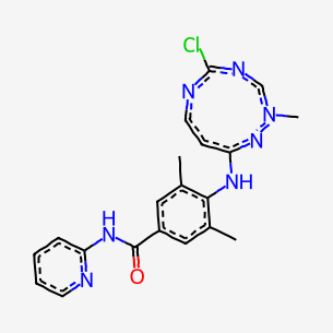 Cc1cc(C(=O)Nc2ccccn2)cc(C)c1Nc1ccnc(Cl)ncn(C)n1